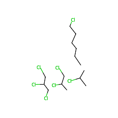 CC(C)Cl.CC(Cl)CCl.CCCCCCCl.ClCC(Cl)CCl